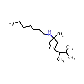 CCCCCCCNC(C)(CC)CCC(C)C(C)C